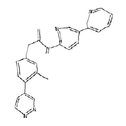 C=C(Cc1ccc(-c2ccnnc2)c(C)c1)Nc1ccc(-c2ccccn2)cn1